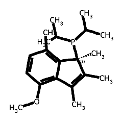 COc1ccc(C)c2c1C(C)=C(C)[C@]2(C)P(C(C)C)C(C)C